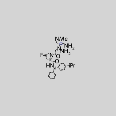 CNC/C(=C/N)N(N)CC(=O)N1C[C@H](F)C[C@H]1C(=O)N[C@@H](c1ccccc1)c1ccc(C(C)C)cc1